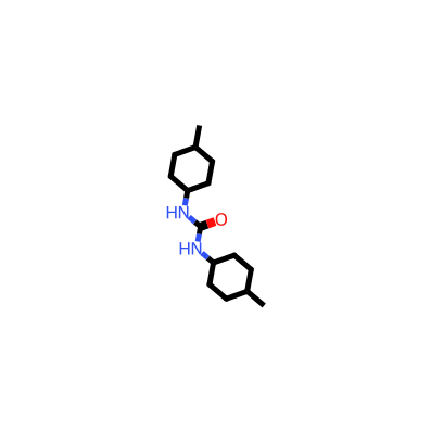 CC1CCC(NC(=O)NC2CCC(C)CC2)CC1